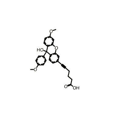 COc1ccc(C2(O)c3ccc(C#CCCCC(=O)O)cc3Oc3cc(OC)ccc32)cc1